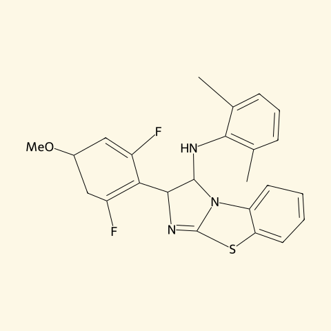 COC1C=C(F)C(C2N=C3Sc4ccccc4N3C2Nc2c(C)cccc2C)=C(F)C1